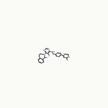 Cc1cc(-c2ccc(CNc3ncnc(N4CCc5ccccc5C4C)c3F)cc2)ccn1